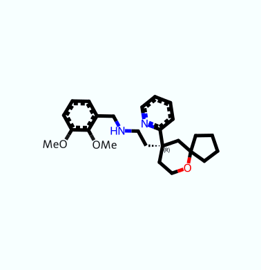 COc1cccc(CNCC[C@@]2(c3ccccn3)CCOC3(CCCC3)C2)c1OC